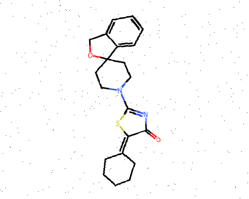 O=C1N=C(N2CCC3(CC2)OCc2ccccc23)SC1=C1CCCCC1